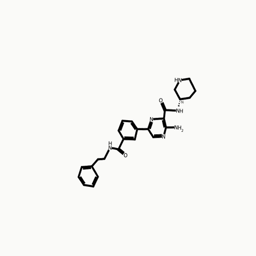 Nc1ncc(-c2cccc(C(=O)NCCc3ccccc3)c2)nc1C(=O)N[C@H]1CCCNC1